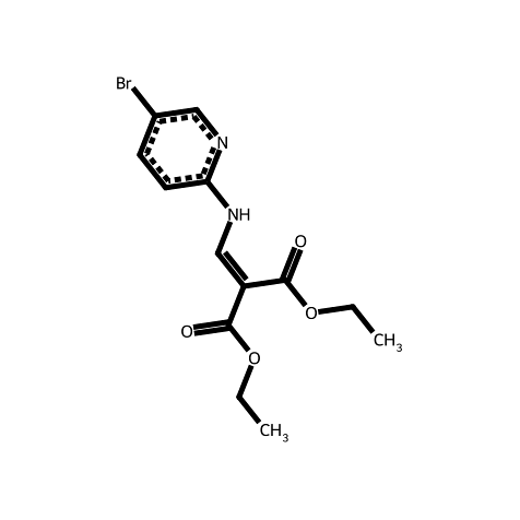 CCOC(=O)C(=CNc1ccc(Br)cn1)C(=O)OCC